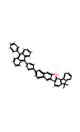 CC1(C)c2ccccc2-c2c1ccc1c2oc2cc3cc(-c4ccc(-c5c6ccccc6c(-c6ccccc6)c6ccccc56)cc4)ccc3cc21